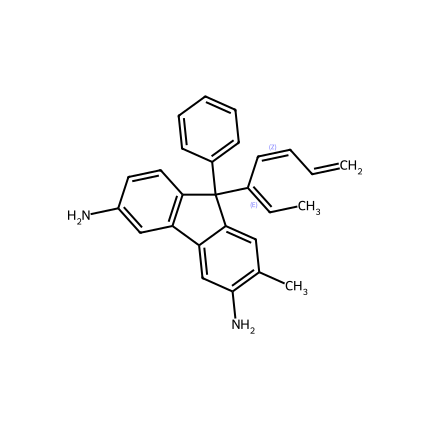 C=C/C=C\C(=C/C)C1(c2ccccc2)c2ccc(N)cc2-c2cc(N)c(C)cc21